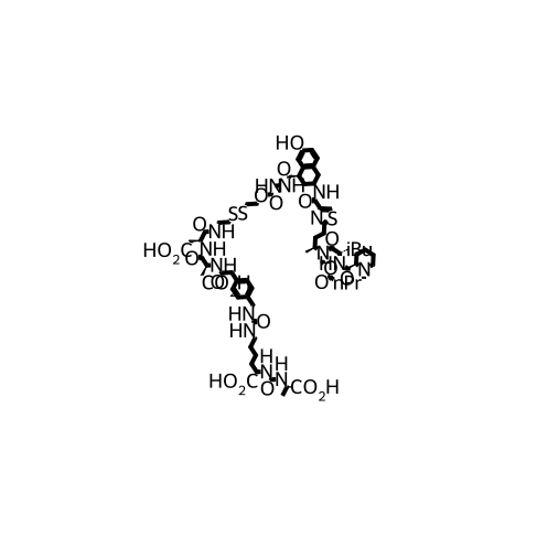 CCCC(=O)OCN(C(=O)[C@@H](NC(=O)[C@H]1CCCCN1C)C(C)CC)[C@@H](C)CCc1nc(C(=O)N[C@H]2Cc3ccc(O)cc3[C@H](C(=O)NNC(=O)OCCSSCCNC(=O)[C@H](CC(=O)O)NC(=O)[C@H](CC(=O)O)NC(=O)Cc3ccc(CNC(=O)NCCCC[C@@H](NC(=O)N[C@@H](C)C(=O)O)C(=O)O)cc3)C2)cs1